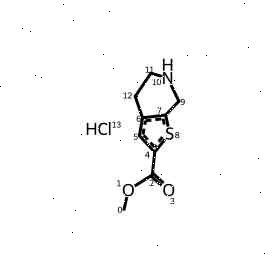 COC(=O)c1cc2c(s1)CNCC2.Cl